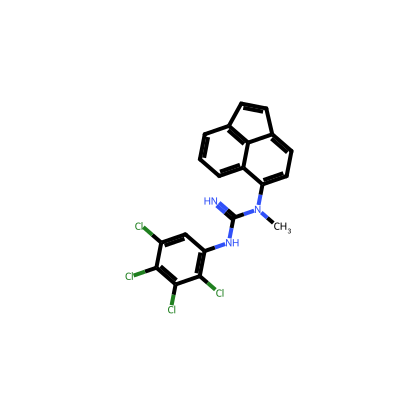 CN(C(=N)Nc1cc(Cl)c(Cl)c(Cl)c1Cl)c1ccc2c3c(cccc13)C=C2